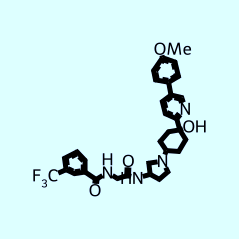 COc1ccc(-c2ccc(C3(O)CCC(N4CCC(NC(=O)CNC(=O)c5cccc(C(F)(F)F)c5)C4)CC3)nc2)cc1